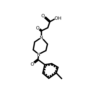 Cc1ccc(C(=O)N2CCN(C(=O)CC(=O)O)CC2)cc1